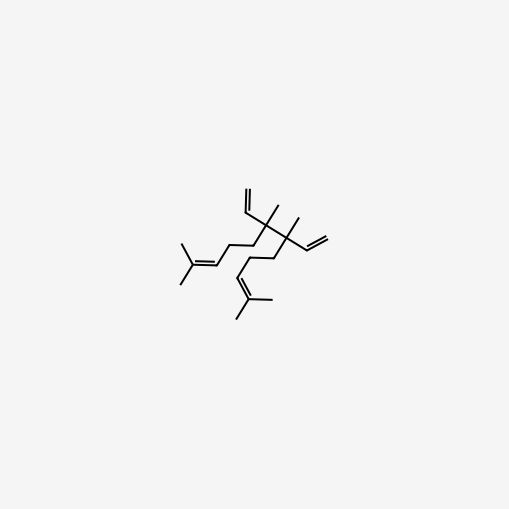 C=CC(C)(CCC=C(C)C)C(C)(C=C)CCC=C(C)C